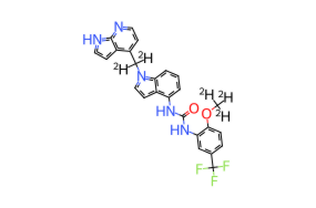 [2H]C([2H])([2H])Oc1ccc(C(F)(F)F)cc1NC(=O)Nc1cccc2c1ccn2C([2H])([2H])c1ccnc2[nH]ccc12